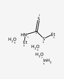 CCNC(=S)SCC.O.O.O.[InH3]